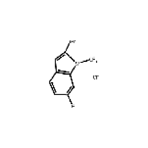 CC(C)c1cc2ccc(F)cc2[s+]1C(F)(F)F.[Cl-]